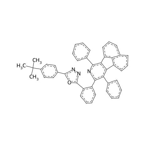 CC(C)(C)c1ccc(-c2nnc(-c3ccccc3-c3nc(-c4ccccc4)c4c(c3-c3ccccc3)-c3cccc5cccc-4c35)o2)cc1